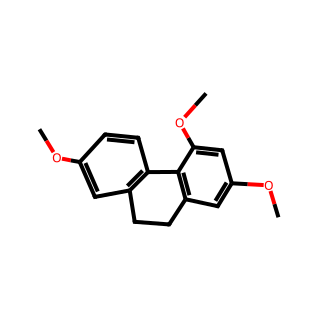 COc1ccc2c(c1)CCc1cc(OC)cc(OC)c1-2